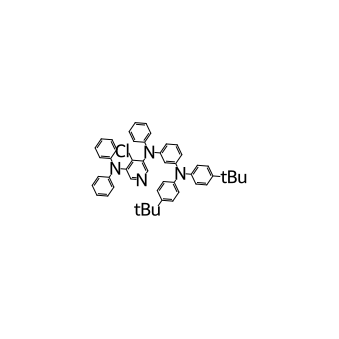 CC(C)(C)c1ccc(N(c2ccc(C(C)(C)C)cc2)c2cccc(N(c3ccccc3)c3cncc(N(c4ccccc4)c4ccccc4)c3Cl)c2)cc1